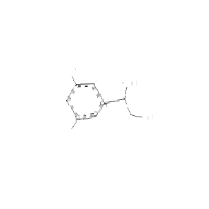 Cc1cc(C)cc(C([SiH3])CO)c1